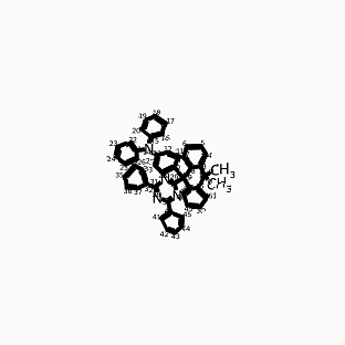 CC1(C)c2ccccc2C(c2ccc(N(c3ccccc3)c3ccccc3)cc2)(c2nc(-c3ccccc3)nc(-c3ccccc3)n2)c2ccccc21